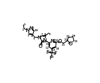 CCn1cc(Cn2cc(C)n(-c3cc(C(F)(F)F)cc(OCC4CCCO4)n3)c2=O)cn1